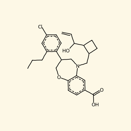 C=CC(O)C1CCC1CN1CC(c2ccc(Cl)cc2CCC)COc2ccc(C(=O)O)cc21